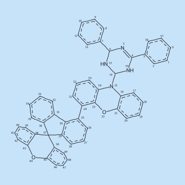 c1ccc(C2=NC(c3ccccc3)NC(N3c4ccccc4Oc4c(-c5cccc6c5-c5ccccc5C65c6ccccc6Oc6ccccc65)cccc43)N2)cc1